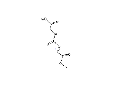 COC(=O)/C=C/C(=O)NCC(=O)O